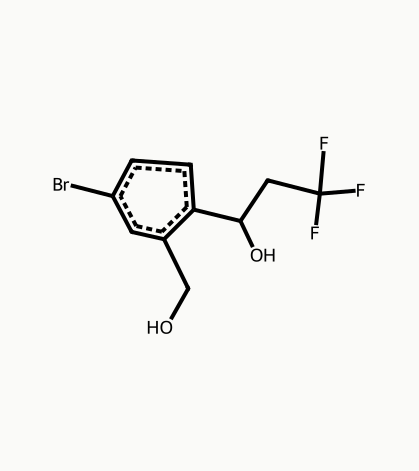 OCc1cc(Br)ccc1C(O)CC(F)(F)F